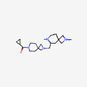 CN1CC2(CCN(C)C(CN3CC4(CCN(C(=O)C5CC5)CC4)C3)C2)C1